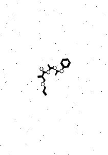 C=CCOCC(=C)C(=O)OC(C)OC(C)Oc1ccccc1